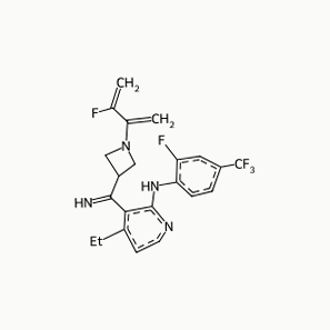 C=C(F)C(=C)N1CC(C(=N)c2c(CC)ccnc2Nc2ccc(C(F)(F)F)cc2F)C1